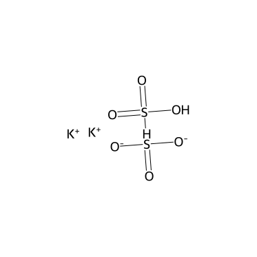 O=S(=O)(O)[SH](=O)([O-])[O-].[K+].[K+]